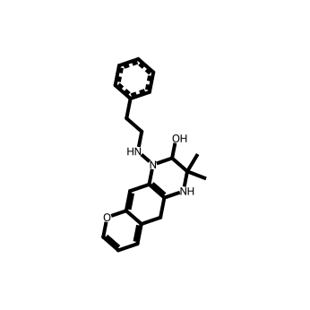 CC1(C)NC2=C(C=C3OC=CC=C3C2)N(NCCc2ccccc2)C1O